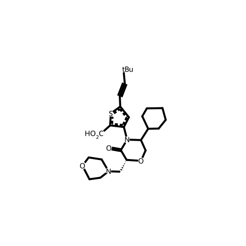 CC(C)(C)C#Cc1cc(N2C(=O)[C@@H](CN3CCOCC3)OCC2C2CCCCC2)c(C(=O)O)s1